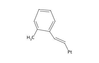 Cc1ccccc1C=[CH][Pt]